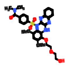 COc1cc(Nc2nc3ccccc3nc2NS(=O)(=O)c2ccc(C(=O)N(C)C)cc2)c(OCCOCCO)c(OC)c1